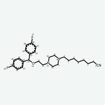 N#CCCCCCCCN1CCN(CCOC(c2ccc(F)cc2)c2ccc(F)cc2)CC1